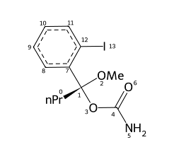 CCC[C@@](OC)(OC(N)=O)c1ccccc1I